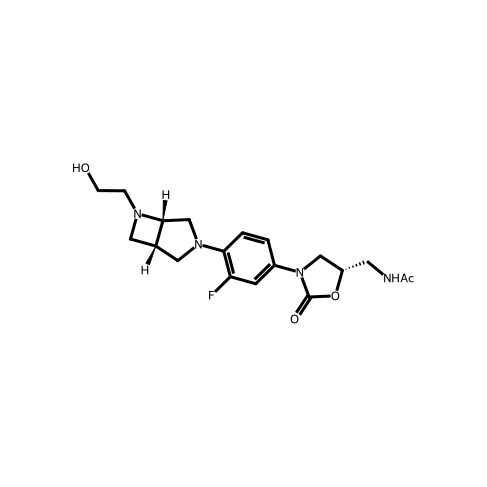 CC(=O)NC[C@H]1CN(c2ccc(N3C[C@@H]4CN(CCO)[C@@H]4C3)c(F)c2)C(=O)O1